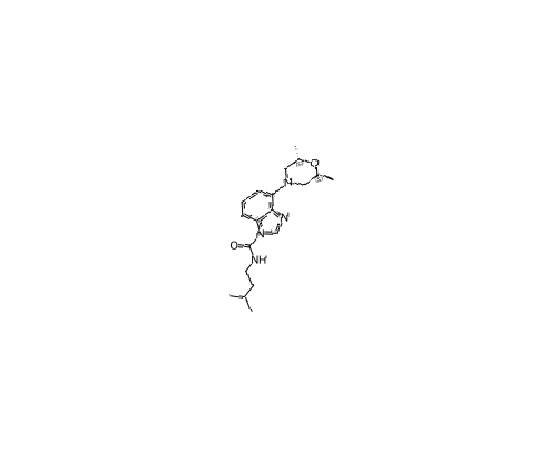 CC(C)CCNC(=O)n1cnc2c(N3C[C@H](C)O[C@@H](C)C3)cccc21